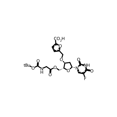 CC(C)(C)OC(=O)NCC(=O)OC[C@H]1O[C@@H](n2cc(F)c(=O)[nH]c2=O)C[C@@H]1OCc1ccc(C(=O)O)o1